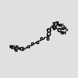 NCc1cnc(N2CCN(CCOCCOCCOCCOCCC(=O)N3CCc4cc(Cn5nc(-c6ccc(O)c(N)c6)c6c(N)ncnc65)ccc4C3)CC2)nc1